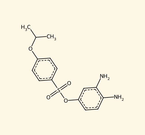 CC(C)Oc1ccc(S(=O)(=O)Oc2ccc(N)c(N)c2)cc1